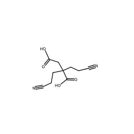 N#CCCC(CCC#N)(CC(=O)O)C(=O)O